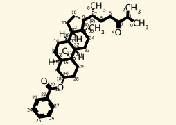 CC(C)C(=O)CC[C@@H](C)[C@H]1CC[C@H]2[C@@H]3CC[C@@H]4C[C@H](OC(=O)c5ccccc5)CC[C@]4(C)[C@H]3CC[C@]12C